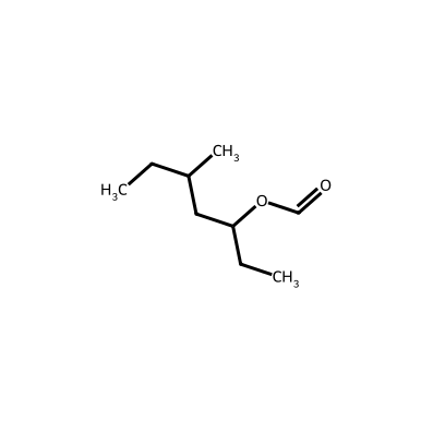 CCC(C)CC(CC)OC=O